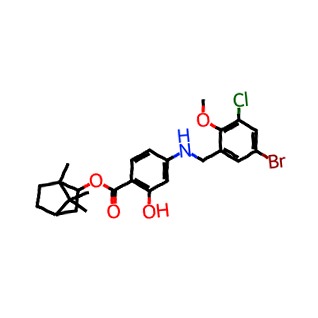 COc1c(Cl)cc(Br)cc1CNc1ccc(C(=O)OC2CC3CCC2(C)C3(C)C)c(O)c1